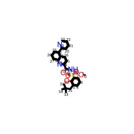 COc1ccc2c(c1S(=O)(=O)NC(=O)c1ccc3c(-c4ccccn4)cccc3n1)OCC(C)(C)C2